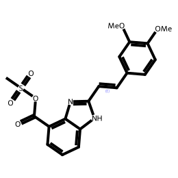 COc1ccc(/C=C/c2nc3c(C(=O)OS(C)(=O)=O)cccc3[nH]2)cc1OC